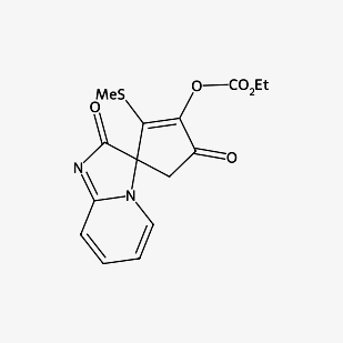 CCOC(=O)OC1=C(SC)C2(CC1=O)C(=O)N=C1C=CC=CN12